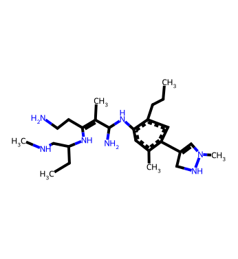 CCCc1cc(C2=CN(C)NC2)c(C)cc1NC(N)/C(C)=C(/CCN)NC(CC)CNC